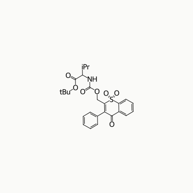 CC(C)C(NC(=O)OCC1=C(c2ccccc2)C(=O)c2ccccc2S1(=O)=O)C(=O)OC(C)(C)C